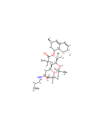 CCC(C)(C)C(=O)O[C@H]1C[C@@H](C)C=C2C=C[C@H](C)[C@H](CC[C@H](C[C@H](CC(=O)NCCOC)O[Si](C)(C)C(C)(C)C)O[Si](C)(C)C(C)(C)C)[C@H]21